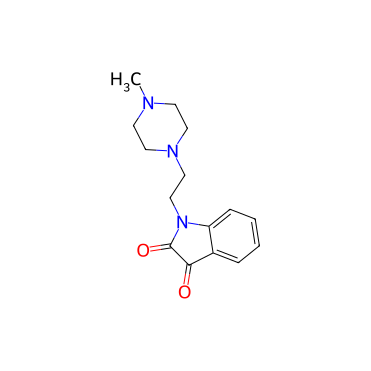 CN1CCN(CCN2C(=O)C(=O)c3ccccc32)CC1